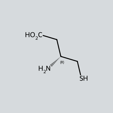 N[C@@H](CS)CC(=O)O